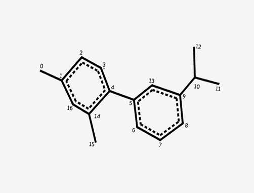 Cc1c[c]c(-c2cccc(C(C)C)c2)c(C)c1